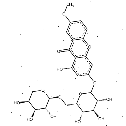 COc1ccc2oc3cc(OC4O[C@@H](CO[C@@H]5OC[C@H](O)[C@H](O)[C@H]5O)[C@@H](O)[C@H](O)[C@H]4O)cc(O)c3c(=O)c2c1